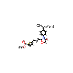 CCCCCC(N=O)c1ccc(N2C(=O)COC2CCCc2ccc(C(=O)OC(C)C)s2)cc1